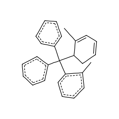 CC1=CC=CCC1C(c1ccccc1)(c1ccccc1)c1ccccc1C